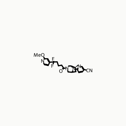 COc1cc(C(F)(F)CCCC(=O)N2CC3C[C@H](C)C(C2)N3c2ccc(C#N)cn2)ccn1